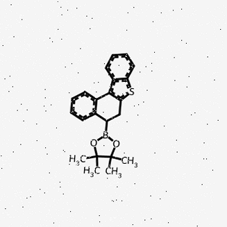 CC1(C)OB(C2Cc3sc4ccccc4c3-c3ccccc32)OC1(C)C